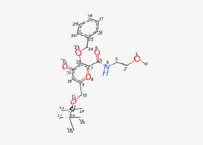 COCCNC(=O)c1oc(CO[Si](C)(C)C(C)(C)C)cc(=O)c1OCc1ccccc1